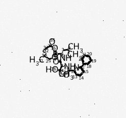 CC(C)C[C@H](NC(=O)[C@@H](NC(=O)c1cccc(-c2ccccc2)n1)[C@@H](C)O)B1OCC(C)SCC(=O)O1